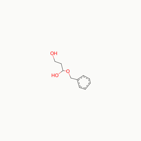 OCCC(O)OCc1ccccc1